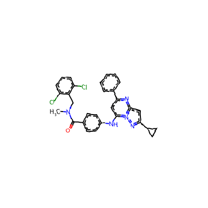 CN(Cc1c(Cl)cccc1Cl)C(=O)c1ccc(Nc2cc(-c3ccccc3)nc3cc(C4CC4)nn23)cc1